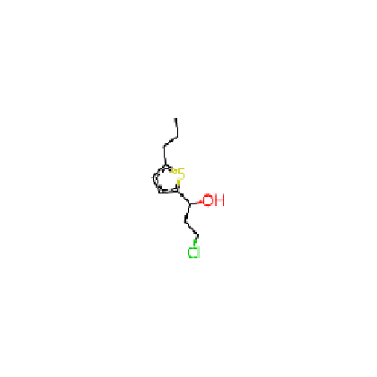 CCCc1ccc(C(O)CCCl)s1